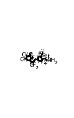 CCC(C(N)=O)c1ccc(/C(F)=C/C(c2cc(Cl)c(Cl)c(Cl)c2)C(F)(F)F)cc1C(C)(F)F